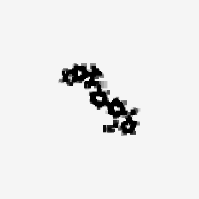 O=C(Nc1cccc(-c2ccc([S+]([O-])N3CCC[C@@H]3CO)cc2)c1)C1(c2ccc3c(c2)OCO3)CC1